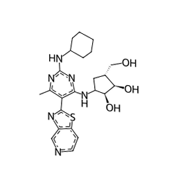 Cc1nc(NC2CCCCC2)nc(NC2C[C@H](CO)[C@@H](O)[C@H]2O)c1-c1nc2cnccc2s1